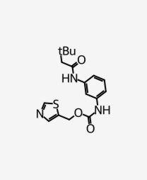 CC(C)(C)CC(=O)Nc1cccc(NC(=O)OCc2cncs2)c1